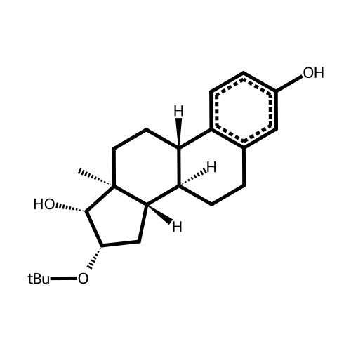 CC(C)(C)O[C@H]1C[C@H]2[C@@H]3CCc4cc(O)ccc4[C@H]3CC[C@]2(C)[C@H]1O